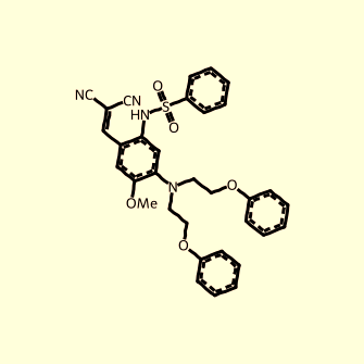 COc1cc(C=C(C#N)C#N)c(NS(=O)(=O)c2ccccc2)cc1N(CCOc1ccccc1)CCOc1ccccc1